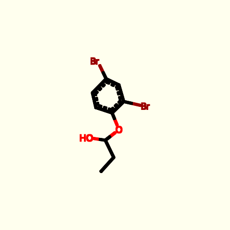 CCC(O)Oc1ccc(Br)cc1Br